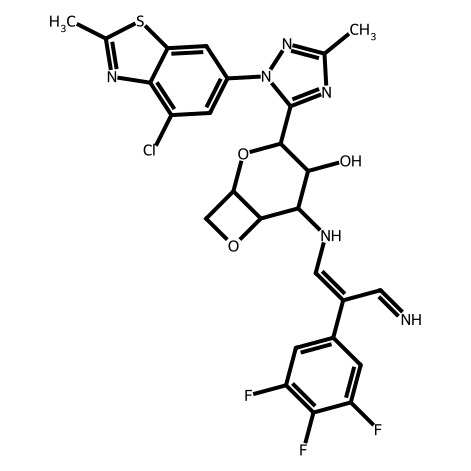 Cc1nc(C2OC3COC3C(N/C=C(\C=N)c3cc(F)c(F)c(F)c3)C2O)n(-c2cc(Cl)c3nc(C)sc3c2)n1